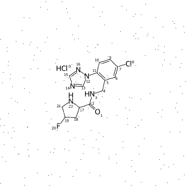 Cl.O=C(NCc1cc(Cl)ccc1-n1cncn1)C1CC(F)CN1